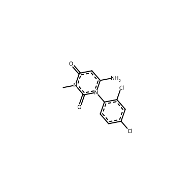 Cn1c(=O)cc(N)n(-c2ccc(Cl)cc2Cl)c1=O